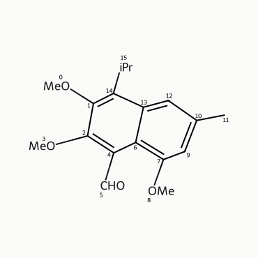 COc1c(OC)c(C=O)c2c(OC)cc(C)cc2c1C(C)C